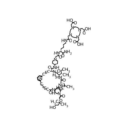 CC[C@H](C)[C@@H]1NC(=O)[C@H](CC(C)C)NC(=O)C2(CCN(C(=O)COC(C)(C)CCO)CC2)NC(=O)CCSCc2cccc(n2)CSC[C@@H](C(=O)NC2CCN(CC(=O)N[C@@H](CCCCNC(=O)CN3CCN(CC(=O)O)CCN(CC(=O)O)CCN(CC(=O)O)CC3)C(N)=O)CC2)NC1=O